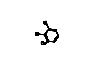 Clc1cccnc1Cl.[Co]